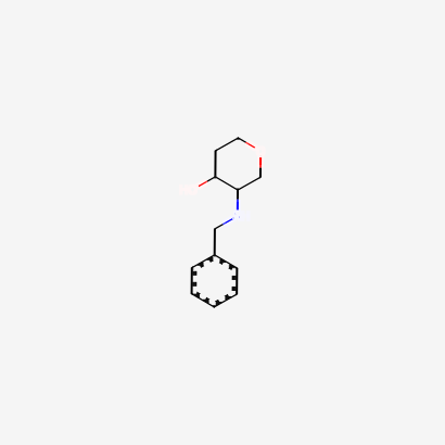 OC1CCOCC1NCc1ccccc1